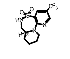 O=S1(=O)NC[C@H]2CCCCN2c2ncc(C(F)(F)F)cc21